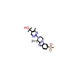 Cc1nc(N2CCn3c(nc4ccc(S(C)(=O)=O)cc43)[C@H]2C(C)C)ncc1C(C)(C)O